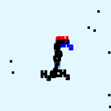 CC(C)CC/C=C/[C@@H]1CCc2cc([C@H]3CC[C@](N)(CO)C3)ccc2C1